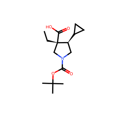 CC[C@]1(C(=O)O)CN(C(=O)OC(C)(C)C)C[C@@H]1C1CC1